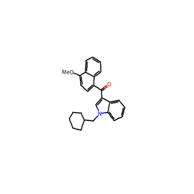 COc1ccc(C(=O)c2cn(CC3CCCCC3)c3ccccc23)c2ccccc12